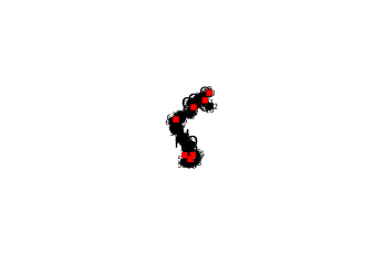 CC(C)(C)Oc1cc(OC(C)(C)C)c2cc(-c3ccc(-c4ccc5c(c4)-c4cc(-c6cnc(-c7cc8cc9c%10c(c8oc7=O)C(C)(C)CCN%10CCC9(C)C)cn6)ccc4C5(C)C)o3)c(=O)oc2c1